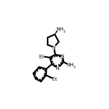 CCc1ccccc1-c1nc(N)nc(N2CC[C@@H](N)C2)c1CC